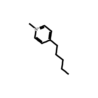 CCCCCc1cc[n+](C)cc1